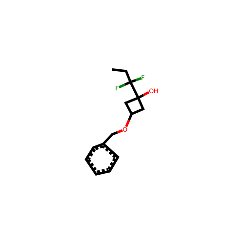 CCC(F)(F)C1(O)CC(OCc2ccccc2)C1